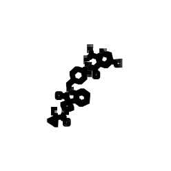 O=C(NC1CCC(CN2C(=O)C3(CN(C(=O)C4(F)CC4)C3)c3ccccc32)CC1)c1cc(Cl)cnc1C(F)F